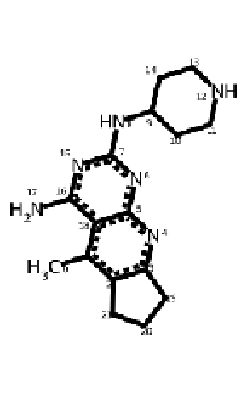 Cc1c2c(nc3nc(NC4CCNCC4)nc(N)c13)CCC2